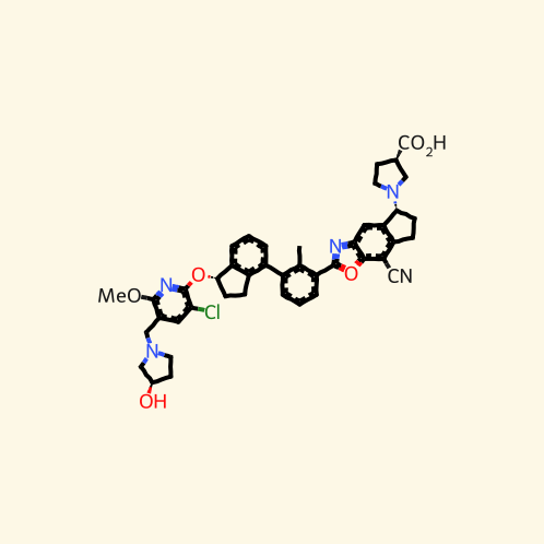 COc1nc(O[C@H]2CCc3c(-c4cccc(-c5nc6cc7c(c(C#N)c6o5)CC[C@H]7N5CC[C@@H](C(=O)O)C5)c4C)cccc32)c(Cl)cc1CN1CC[C@@H](O)C1